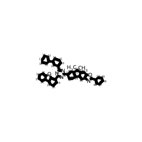 CC1(C)c2cc(-c3nc(-c4cccc(-c5ccccc5)c4)nc(-c4cccc5c4oc4ccccc45)n3)ccc2-c2cc3nc(-c4ccccc4)oc3cc21